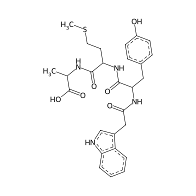 CSCCC(NC(=O)C(Cc1ccc(O)cc1)NC(=O)Cc1c[nH]c2ccccc12)C(=O)NC(C)C(=O)O